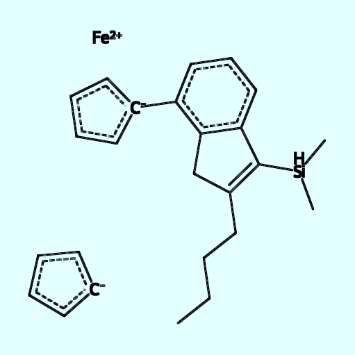 CCCCC1=C([SiH](C)C)c2cccc(-[c-]3cccc3)c2C1.[Fe+2].c1cc[cH-]c1